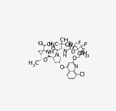 CCOc1cc(O[C@@H]2C[C@@H](C(=O)N[C@]3(C(=O)O)C[C@H]3CC)N(C(=O)[C@@H](NC(=O)OC(C)(C)C(F)(F)F)C(C)(C)C)C2)c2cccc(Cl)c2n1